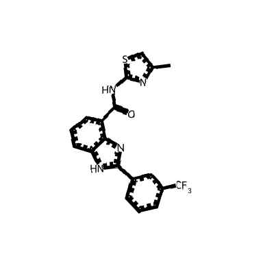 Cc1csc(NC(=O)c2cccc3[nH]c(-c4cccc(C(F)(F)F)c4)nc23)n1